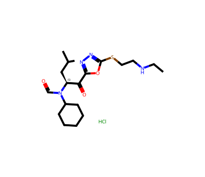 CCNCCSc1nnc(C(=O)[C@H](CC(C)C)N(C=O)C2CCCCC2)o1.Cl